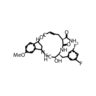 COc1ccc2c(c1)[C@@H]1C[C@H]2OC/C=C/C[C@@H](C(N)=O)C(=O)N[C@@H](Cc2cc(F)cc(F)c2)[C@H](O)CN1